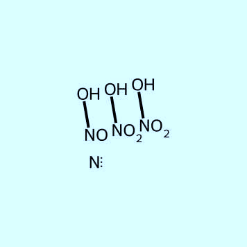 O=NO.O=[N+]([O-])O.O=[N+]([O-])O.[N]